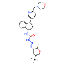 CC1OC=C(C(C)(C)C)C=C1N=NNC(=O)Nc1ccc(-c2ccc(CN3CCOCC3)nc2)c2ccccc12